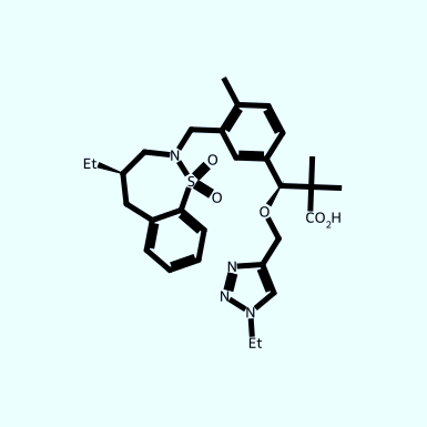 CC[C@@H]1Cc2ccccc2S(=O)(=O)N(Cc2cc([C@H](OCc3cn(CC)nn3)C(C)(C)C(=O)O)ccc2C)C1